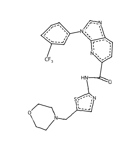 O=C(Nc1ncc(CN2CCOCC2)s1)c1ccc2ncn(-c3cccc(C(F)(F)F)c3)c2n1